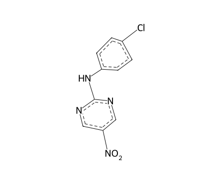 O=[N+]([O-])c1cnc(Nc2ccc(Cl)cc2)nc1